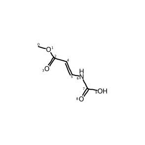 COC(=O)C=CNC(=O)O